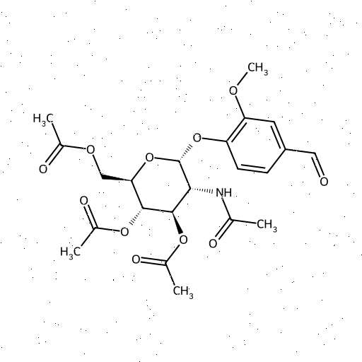 COc1cc(C=O)ccc1O[C@H]1O[C@H](COC(C)=O)[C@@H](OC(C)=O)[C@H](OC(C)=O)[C@H]1NC(C)=O